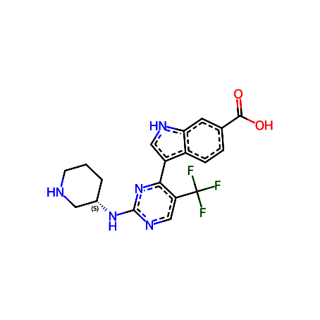 O=C(O)c1ccc2c(-c3nc(N[C@H]4CCCNC4)ncc3C(F)(F)F)c[nH]c2c1